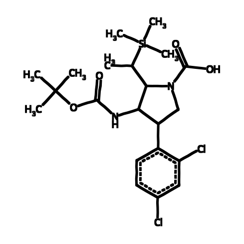 CC(C1C(NC(=O)OC(C)(C)C)C(c2ccc(Cl)cc2Cl)CN1C(=O)O)[Si](C)(C)C